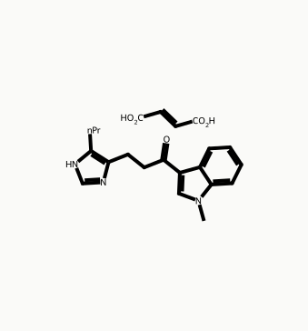 CCCc1[nH]cnc1CCC(=O)c1cn(C)c2ccccc12.O=C(O)C=CC(=O)O